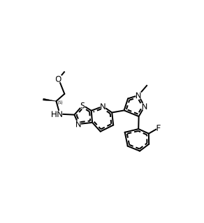 COC[C@H](C)Nc1nc2ccc(-c3cn(C)nc3-c3ccccc3F)nc2s1